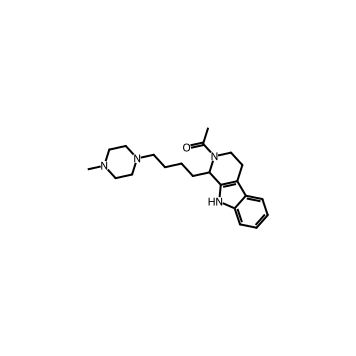 CC(=O)N1CCc2c([nH]c3ccccc23)C1CCCCN1CCN(C)CC1